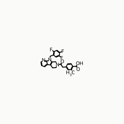 Cc1cc(CC(=O)N2CCc3c(n(Cc4cc(F)c(F)cc4F)c4ncccc34)C2)ccc1C(=O)O